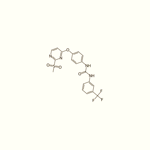 CS(=O)(=O)c1nccc(Oc2ccc(NC(=O)Nc3cccc(C(F)(F)F)c3)cc2)n1